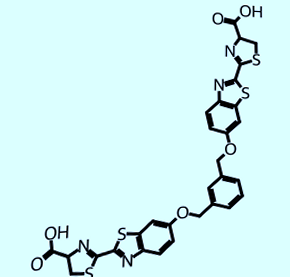 O=C(O)C1CSC(c2nc3ccc(OCc4cccc(COc5ccc6nc(C7=NC(C(=O)O)CS7)sc6c5)c4)cc3s2)=N1